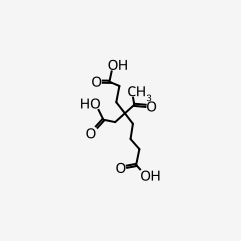 CC(=O)C(CCCC(=O)O)(CCC(=O)O)CC(=O)O